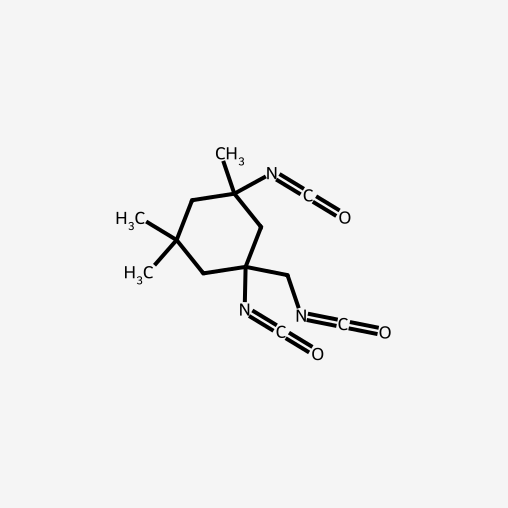 CC1(C)CC(C)(N=C=O)CC(CN=C=O)(N=C=O)C1